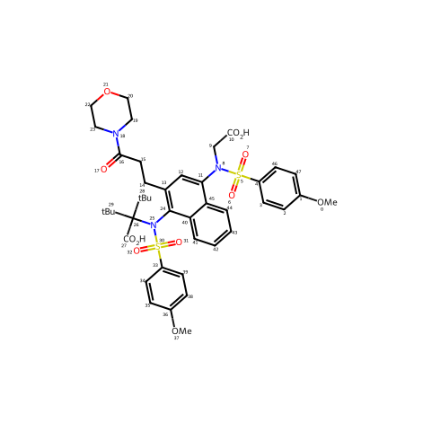 COc1ccc(S(=O)(=O)N(CC(=O)O)c2cc(CCC(=O)N3CCOCC3)c(N(C(C(=O)O)(C(C)(C)C)C(C)(C)C)S(=O)(=O)c3ccc(OC)cc3)c3ccccc23)cc1